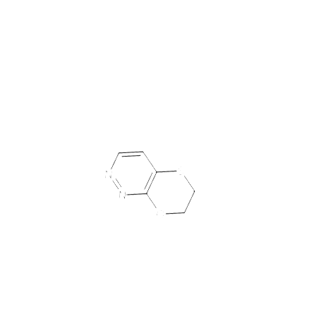 c1cc2c(nn1)OCCS2